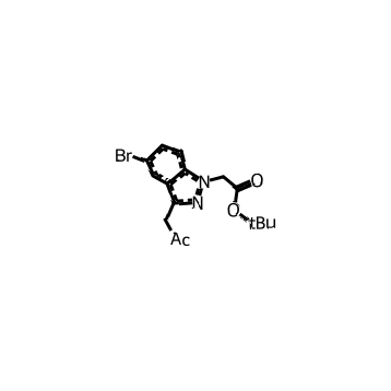 CC(=O)Cc1nn(CC(=O)OC(C)(C)C)c2ccc(Br)cc12